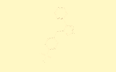 NS(=O)(=O)c1ccc(Cc2c[nH]nc2-c2ccccc2)cc1